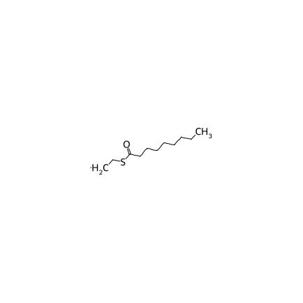 [CH2]CSC(=O)CCCCCCCC